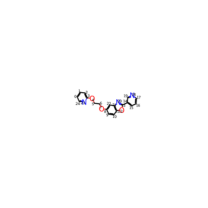 c1ccc(OCCOc2ccc3oc(-c4cccnc4)nc3c2)nc1